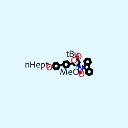 CCCCCCCOc1ccc(-c2ccc(CC[C@H](CC(=O)OC(C)(C)C)N(C(=O)OC)C3c4ccccc4-c4ccccc43)cc2)cc1